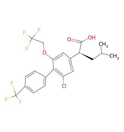 CC(C)C[C@H](C(=O)O)c1cc(Cl)c(-c2ccc(C(F)(F)F)cc2)c(OCC(F)(F)F)c1